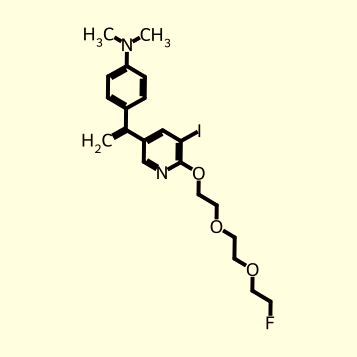 C=C(c1ccc(N(C)C)cc1)c1cnc(OCCOCCOCCF)c(I)c1